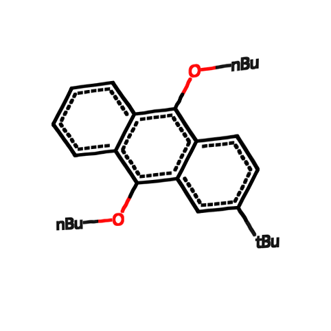 CCCCOc1c2ccccc2c(OCCCC)c2cc(C(C)(C)C)ccc12